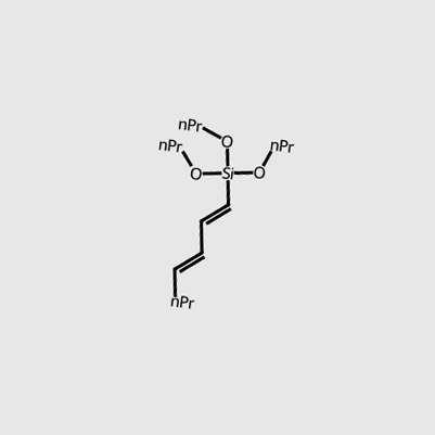 CCCC=CC=C[Si](OCCC)(OCCC)OCCC